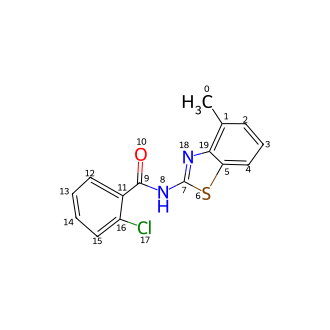 Cc1cccc2sc(NC(=O)c3ccccc3Cl)nc12